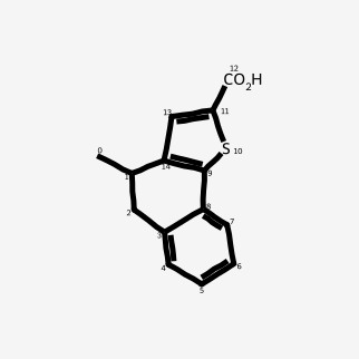 CC1Cc2ccccc2-c2sc(C(=O)O)cc21